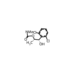 CNC(=O)O[C@@H](C)[C@@H](O)c1c(Cl)cccc1Cl